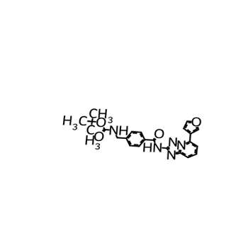 CC(C)(C)OC(=O)NCc1ccc(C(=O)Nc2nc3cccc(-c4ccoc4)n3n2)cc1